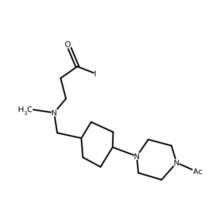 CC(=O)N1CCN(C2CCC(CN(C)CCC(=O)I)CC2)CC1